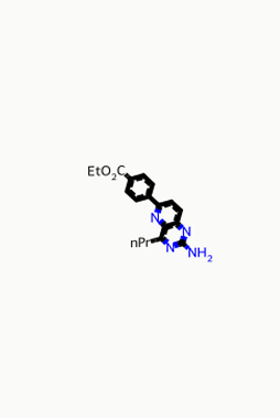 CCCc1nc(N)nc2ccc(-c3ccc(C(=O)OCC)cc3)nc12